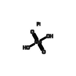 [O]=[Mo](=[O])([OH])[OH].[P]